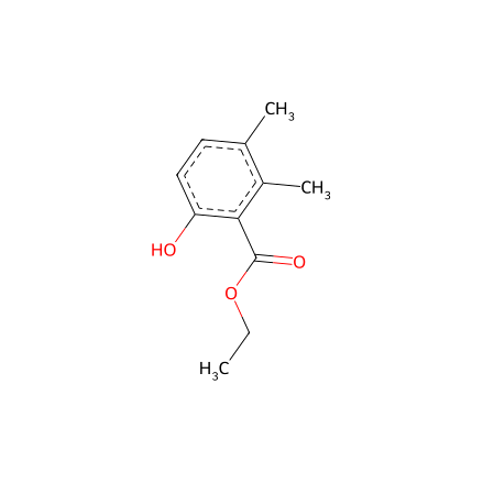 CCOC(=O)c1c(O)ccc(C)c1C